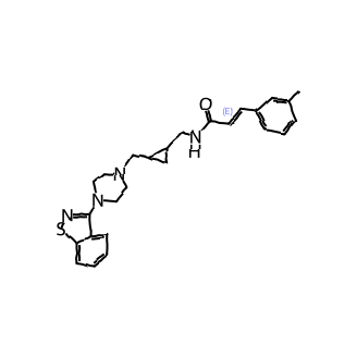 Cc1cccc(/C=C/C(=O)NCC2CC2CN2CCN(c3nsc4ccccc34)CC2)c1